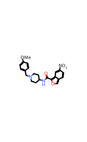 COc1ccc(CN2CCC(NC(=O)c3occ4ccc([N+](=O)[O-])cc34)CC2)cc1